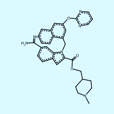 CN1CCC(COC(=O)c2cc3ccc(C(=N)N)cc3n2Cc2cc(Oc3ncccn3)cc3ccccc23)CC1